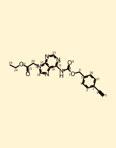 C#Cc1ccc(COC(=O)Nc2ncnc3c2ncn3CC(=O)OCC)cc1